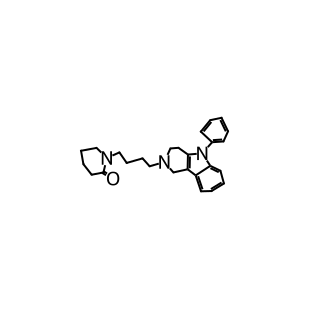 O=C1CCCCN1CCCCN1CCc2c(c3ccccc3n2-c2ccccc2)C1